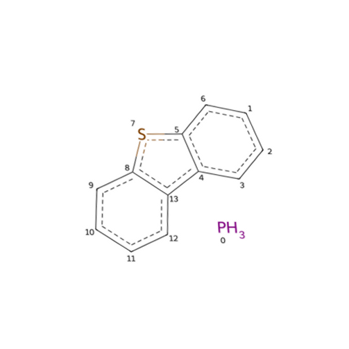 P.c1ccc2c(c1)sc1ccccc12